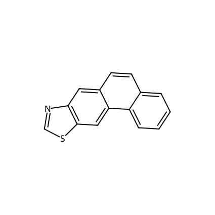 c1ccc2c(c1)ccc1cc3ncsc3cc12